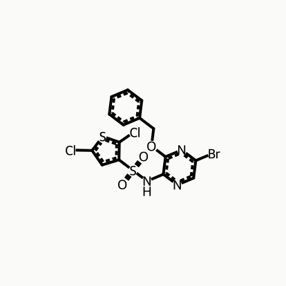 O=S(=O)(Nc1ncc(Br)nc1OCc1ccccc1)c1cc(Cl)sc1Cl